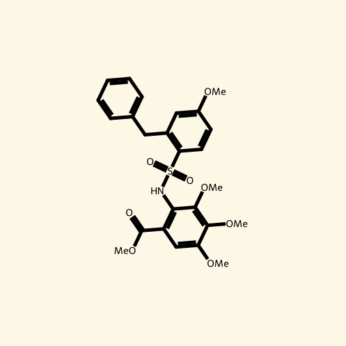 COC(=O)c1cc(OC)c(OC)c(OC)c1NS(=O)(=O)c1ccc(OC)cc1Cc1ccccc1